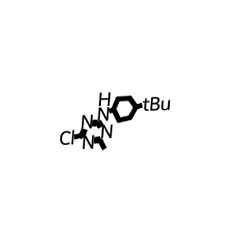 Cc1nc(Cl)nc(NC2CCC(C(C)(C)C)CC2)n1